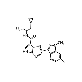 CC(CC1CC1)NC(=O)c1c[nH]c2ncc(-c3nn(C)c4cc(F)ccc34)nc12